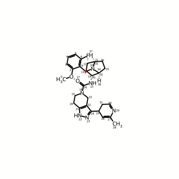 COc1cccc(F)c1CN1[C@H]2CC[C@@H](NC(=O)N3CCc4[nH]nc(C5C=C(C)N=CC5)c4C3)[C@@H]1CC2